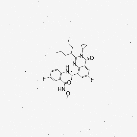 CCCC(CCC)c1nc2c(C(C)Nc3ccc(F)cc3C(=O)NOC)cc(F)cc2c(=O)n1C1CC1